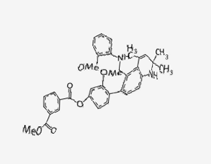 COC(=O)c1cccc(C(=O)Oc2ccc(-c3ccc4c(c3CNc3ccccc3OC)C(C)=CC(C)(C)N4)c(OC)c2)c1